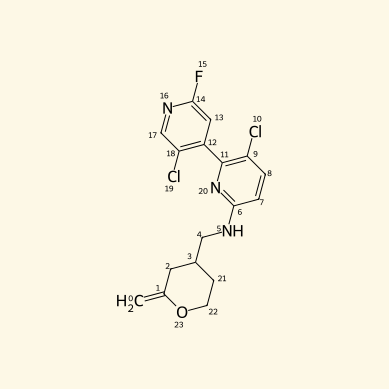 C=C1CC(CNc2ccc(Cl)c(-c3cc(F)ncc3Cl)n2)CCO1